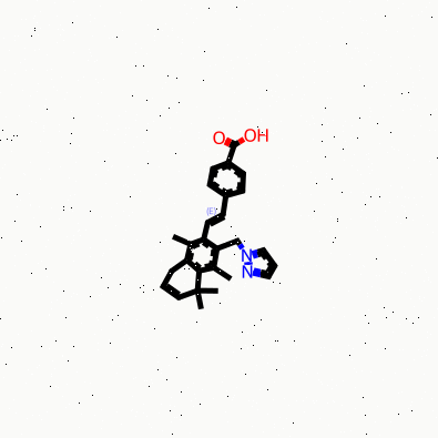 Cc1c(/C=C/c2ccc(C(=O)O)cc2)c(Cn2cccn2)c(C)c2c1CC=CC2(C)C